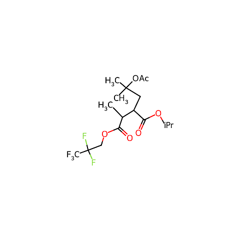 CC(=O)OC(C)(C)CC(C(=O)OC(C)C)C(C)C(=O)OCC(F)(F)C(F)(F)F